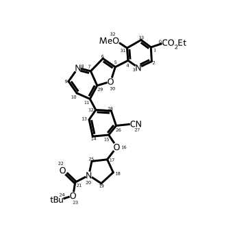 CCOC(=O)c1cnc(-c2cc3nccc(-c4ccc(OC5CCN(C(=O)OC(C)(C)C)C5)c(C#N)c4)c3o2)c(OC)c1